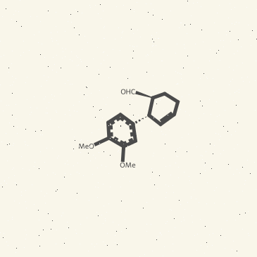 COc1ccc([C@H]2C=CCC[C@@H]2C=O)cc1OC